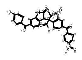 Nc1ccc(C(=O)c2ccc3c(c2)NC(=O)C3C(C(=O)O)(C(=O)O)c2ccc(C(=O)c3ccc([N+](=O)[O-])cc3)cc2[N+](=O)[O-])cc1